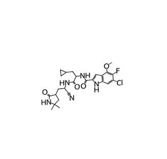 COc1c(F)c(Cl)cc2[nH]c(C(=O)NC(CC3CC3)C(=O)NC(C#N)CC3CC(C)(C)NC3=O)cc12